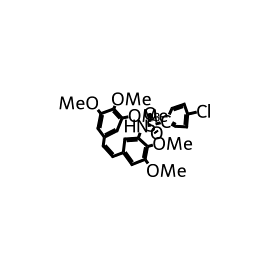 COc1cc(/C=C\c2cc(OC)c(OC)c(OC)c2)cc(NS(=O)(=O)[13c]2ccc(Cl)cc2)c1OC